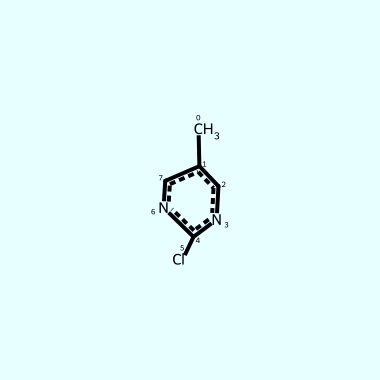 Cc1cnc(Cl)nc1